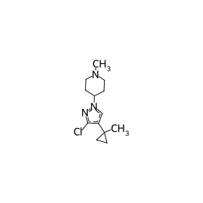 CN1CCC(n2cc(C3(C)CC3)c(Cl)n2)CC1